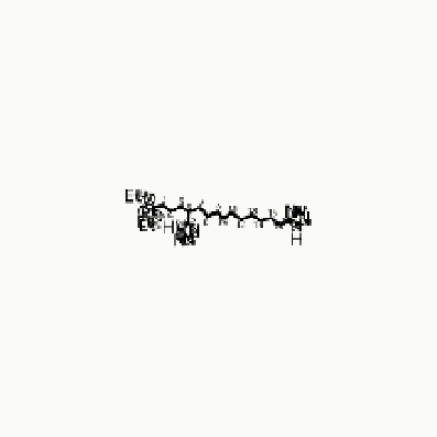 CCO[Si](CCCC(CCCCCCCCCCc1nnn[nH]1)c1nnn[nH]1)(OCC)OCC